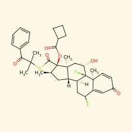 C[C@@H]1C[C@H]2[C@@H]3C[C@H](F)C4=CC(=O)C=C[C@]4(C)[C@@]3(F)[C@@H](O)C[C@]2(C)[C@@]1(OC(=O)C1CCC1)C(=O)SC(C)(C)C(=O)c1ccccc1